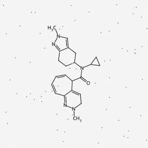 CN1CC=C2C(=N1)C=CC=CC2C(=O)N(C1CC1)C1CCc2nn(C)cc2C1